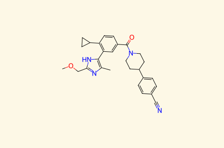 COCc1nc(C)c(-c2cc(C(=O)N3CCC(c4ccc(C#N)cc4)CC3)ccc2C2CC2)[nH]1